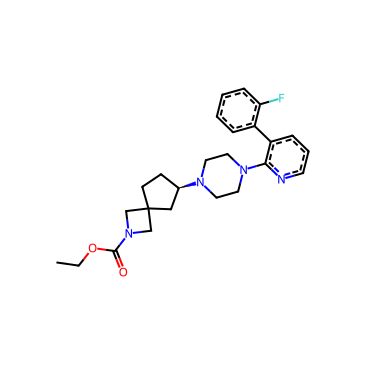 CCOC(=O)N1CC2(CC[C@@H](N3CCN(c4ncccc4-c4ccccc4F)CC3)C2)C1